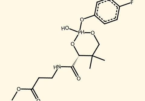 COC(=O)CCNC(=O)[C@@H]1O[PH](O)(Oc2ccc(F)cc2)OCC1(C)C